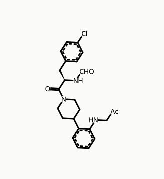 CC(=O)CNc1ccccc1C1CCN(C(=O)[C@@H](Cc2ccc(Cl)cc2)NC=O)CC1